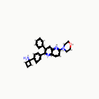 NC1(c2ccc(-c3nc4ccc(N5CCOCC5)nc4cc3-c3ccccc3)cc2)CCC1